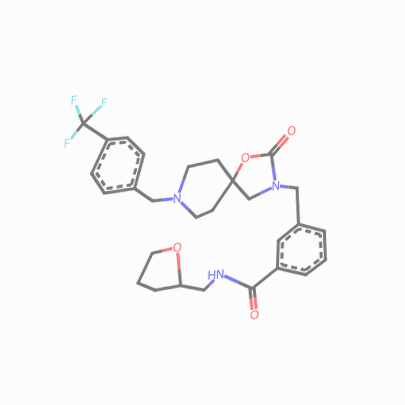 O=C(NCC1CCCO1)c1cccc(CN2CC3(CCN(Cc4ccc(C(F)(F)F)cc4)CC3)OC2=O)c1